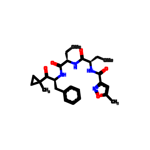 COC[C@H](NC(=O)c1cc(C)on1)C(=O)N[C@@H](COC)C(=O)N[C@@H](Cc1ccccc1)C(=O)C1(C)CC1